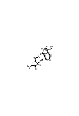 CCOC(=O)C1(C)CCCN(c2ncnc3c(OC)cccc23)C1